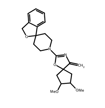 C=C1N=C(N2CCC3(CC2)OCc2ccccc23)OC12CC(OC)C(OC)C2